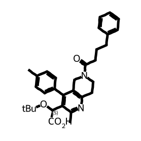 Cc1ccc(-c2c3c(nc(C)c2[C@H](OC(C)(C)C)C(=O)O)CCN(C(=O)CCCc2ccccc2)C3)cc1